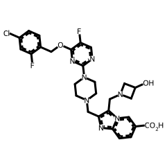 O=C(O)c1ccc2nc(CN3CCN(c4ncc(F)c(OCc5ccc(Cl)cc5F)n4)CC3)c(CN3CC(O)C3)n2c1